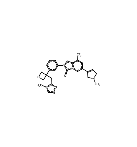 CN1CC=C(c2cc(C(F)(F)F)c3cn(-c4cccc(C5(Cc6nncn6C)COC5)c4)c(=O)n3c2)C1